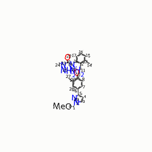 COCn1ccc(-c2ccc(OCc3c(C)cccc3N(N)C(=O)N(C)N)c(C)c2)n1